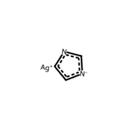 [Ag+].c1c[n-]cn1